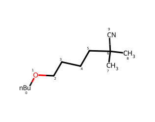 CCCCOCCCCC(C)(C)C#N